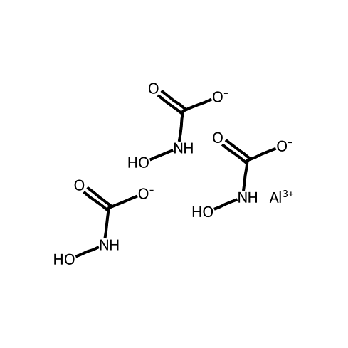 O=C([O-])NO.O=C([O-])NO.O=C([O-])NO.[Al+3]